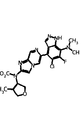 CC1COCC1N(C(=O)O)c1cn2cc(-c3c(Cl)c(F)c(N(C)C)c4[nH]ncc34)ncc2n1